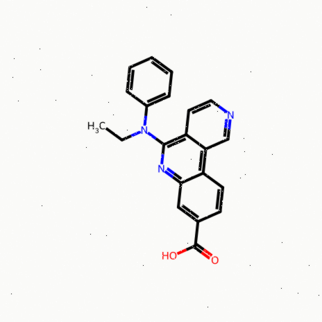 CCN(c1ccccc1)c1nc2cc(C(=O)O)ccc2c2cnccc12